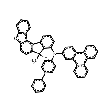 CC1(C)c2ccc3oc4ccccc4c3c2-c2cccc(N(c3ccc(-c4ccccc4)cc3)c3ccc4c5ccccc5c5ccccc5c4c3)c21